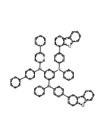 c1ccc(-c2ccc(N(c3ccc(-c4ccccc4)cc3)c3cc(N(c4ccccc4)c4ccc(-c5ccc6oc7ccccc7c6c5)cc4)cc(N(c4ccccc4)c4ccc(-c5cccc6c5oc5ccccc56)cc4)c3)cc2)cc1